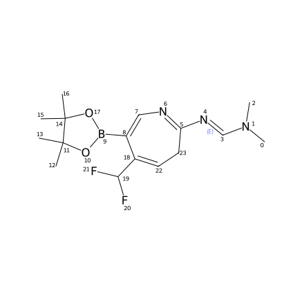 CN(C)/C=N/C1=NC=C(B2OC(C)(C)C(C)(C)O2)C(C(F)F)=CC1